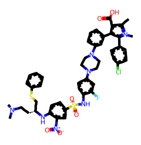 Cc1c(C(=O)O)c(-c2cccc(N3CCN(c4ccc(NS(=O)(=O)c5ccc(N[C@H](CCN(C)C)CSc6ccccc6)c([N+](=O)[O-])c5)c(F)c4)CC3)c2)c(-c2ccc(Cl)cc2)n1C